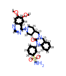 COc1cc2ncnc(N3CCC(CN4Cc5ccccc5N(c5cccc(S(N)(=O)=O)c5)C4=O)CC3)c2cc1OC